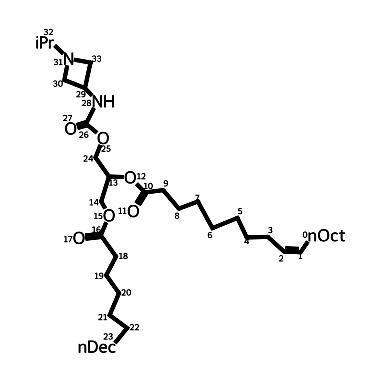 CCCCCCCC/C=C\CCCCCCCC(=O)OC(COC(=O)CCCCCCCCCCCCCCC)COC(=O)NC1CN(C(C)C)C1